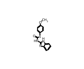 COc1ccc(SC(=O)Nc2nc3ccccc3[nH]2)cc1